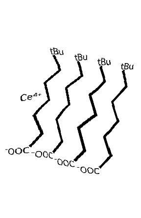 CC(C)(C)CCCCCC(=O)[O-].CC(C)(C)CCCCCC(=O)[O-].CC(C)(C)CCCCCC(=O)[O-].CC(C)(C)CCCCCC(=O)[O-].[Ce+4]